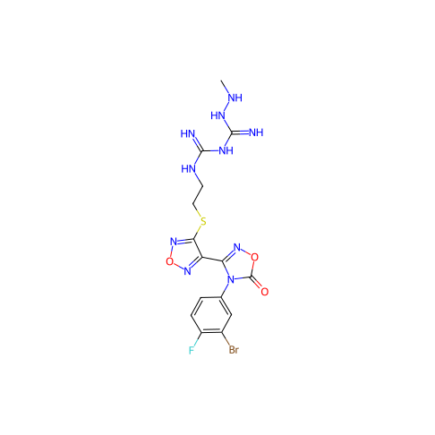 CNNC(=N)NC(=N)NCCSc1nonc1-c1noc(=O)n1-c1ccc(F)c(Br)c1